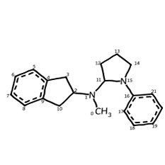 CN(C1Cc2ccccc2C1)C1CCCN1c1ccccc1